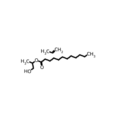 C=CC.CCCCCCCCCCCC(=O)OC(C)CO